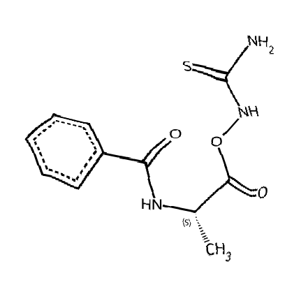 C[C@H](NC(=O)c1ccccc1)C(=O)ONC(N)=S